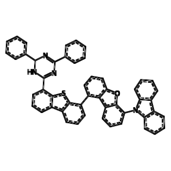 c1ccc(C2=NC(c3ccccc3)NC(c3cccc4c3sc3c(-c5cccc6oc7c(-n8c9ccccc9c9ccccc98)cccc7c56)cccc34)=N2)cc1